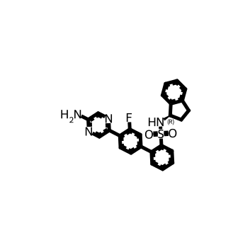 Nc1cnc(-c2ccc(-c3ccccc3S(=O)(=O)N[C@@H]3CCc4ccccc43)cc2F)cn1